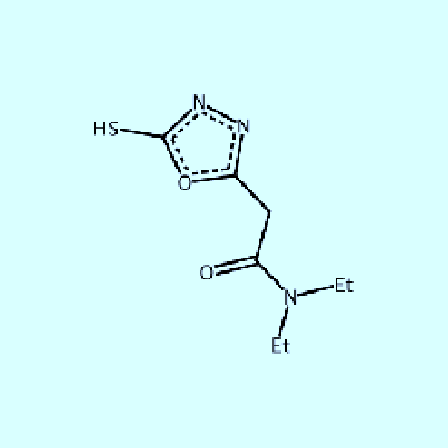 CCN(CC)C(=O)Cc1nnc(S)o1